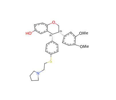 COc1ccc([C@H]2COc3ccc(O)cc3[C@H]2c2ccc(SCCN3CCCC3)cc2)cc1OC